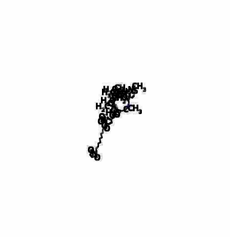 C=CC[C@H]1C(=O)C(C)(C)[C@@H](O[Si](C)(C)C(C)(C)C)CC(=O)O[C@H](c2ccc3sc(C)nc3c2)C/C=C(/C)CCC[C@H](C)[C@@H]1OC(=O)OCc1ccc(OC(=O)CCCCCCCCCCN2C(=O)C=CC2=O)c([N+](=O)[O-])c1